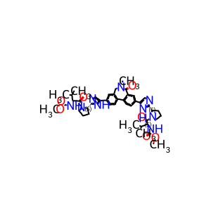 COC(=O)NC(C(=O)N1CCC[C@H]1c1ncc(-c2ccc3c(c2)CN(C)C(=O)c2cc(-c4cnc([C@@H]5CCCN5C(=O)[C@@H](NC(=O)OC)C(C)C)[nH]4)ccc2-3)[nH]1)C(C)C